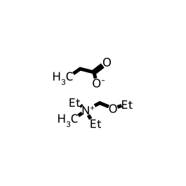 CCC(=O)[O-].CCOC[N+](C)(CC)CC